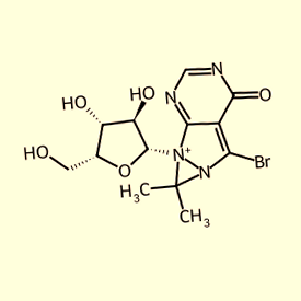 CC1(C)N2C(Br)=C3C(=O)N=CN=C3[N+]21[C@@H]1O[C@H](CO)[C@H](O)[C@H]1O